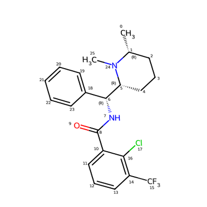 C[C@@H]1CCC[C@H]([C@H](NC(=O)c2cccc(C(F)(F)F)c2Cl)c2ccccc2)N1C